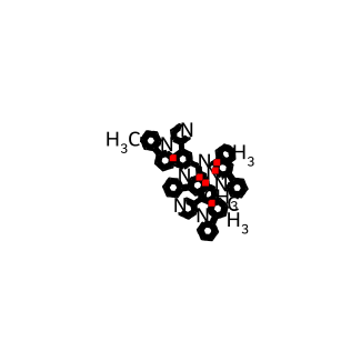 Cc1ccc2c(c1)c1ccccc1n2-c1ccncc1-c1ccc(-n2c3ccccc3c3cc(C)ccc32)c(-c2cc(-c3cc(-c4cnccc4-n4c5ccccc5c5cc(C)ccc54)ccc3-n3c4ccccc4c4cc(C)ccc43)nc(-c3ccccc3)n2)c1